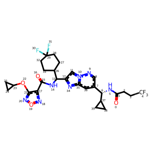 O=C(CCC(F)(F)F)N[C@@H](c1cnn2cc(C(NC(=O)c3nonc3OC3CC3)C3CCC(F)(F)CC3)nc2c1)C1CC1